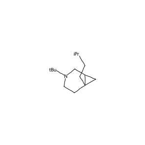 CC(C)CCC12CCN(C(C)(C)C)CC1C2